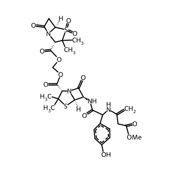 C=C(CC(=O)OC)NC(C(=O)N[C@@H]1C(=O)N2[C@@H]1SC(C)(C)[C@@H]2C(=O)OCOC(=O)[C@@H]1N2C(=O)C[C@H]2S(=O)(=O)C1(C)C)c1ccc(O)cc1